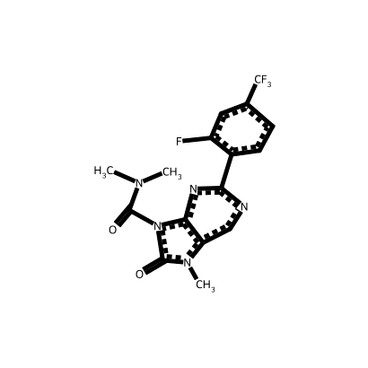 CN(C)C(=O)n1c(=O)n(C)c2cnc(-c3ccc(C(F)(F)F)cc3F)nc21